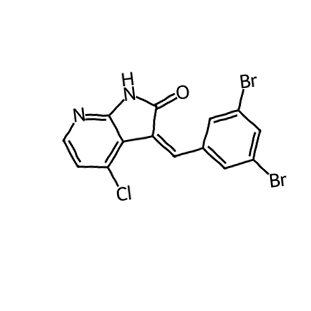 O=C1Nc2nccc(Cl)c2C1=Cc1cc(Br)cc(Br)c1